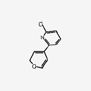 Clc1cc[c]c(C2=CCOC=C2)n1